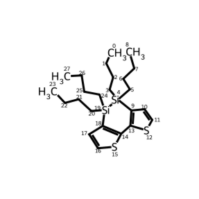 CCCC[Si]1(CCCC)c2ccsc2-c2sccc2[Si]1(CCCC)CCCC